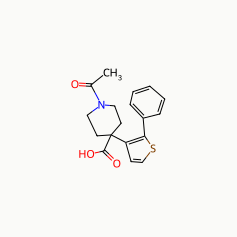 CC(=O)N1CCC(C(=O)O)(c2ccsc2-c2ccccc2)CC1